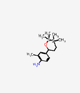 Cc1cc(C2CC[Si](C)(C)[Si](C)(C)O2)ccc1N